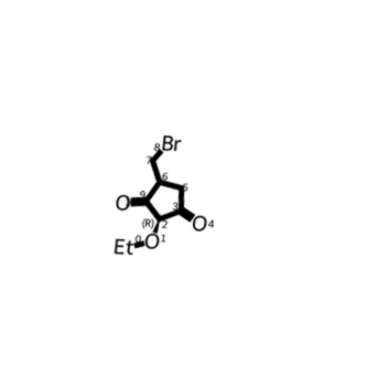 CCO[C@@H]1C(=O)CC(CBr)C1=O